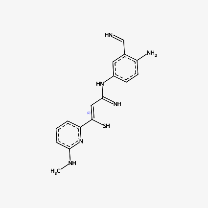 CNc1cccc(/C(S)=C/C(=N)Nc2ccc(N)c(C=N)c2)n1